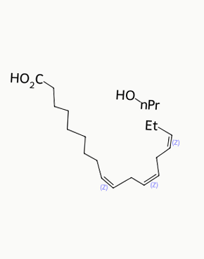 CC/C=C\C/C=C\C/C=C\CCCCCCCC(=O)O.[CH2]CCO